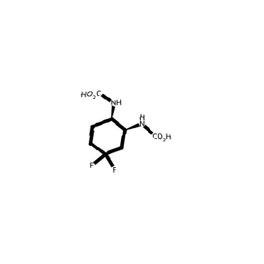 O=C(O)N[C@H]1CC(F)(F)CC[C@H]1NC(=O)O